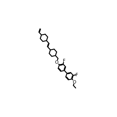 C=CC1CCC(/C=C/C2CCC(COc3ccc(-c4ccc(OCC)c(F)c4)cc3F)CC2)CC1